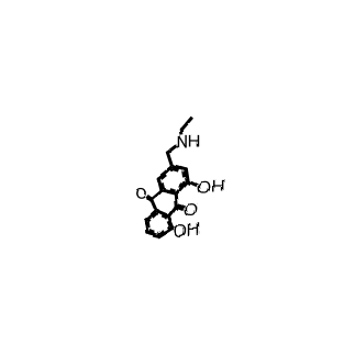 CCNCc1cc(O)c2c(c1)C(=O)c1cccc(O)c1C2=O